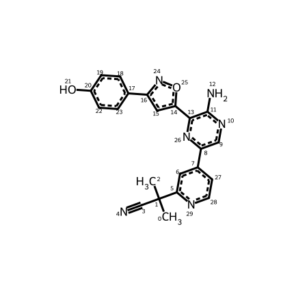 CC(C)(C#N)c1cc(-c2cnc(N)c(-c3cc(-c4ccc(O)cc4)no3)n2)ccn1